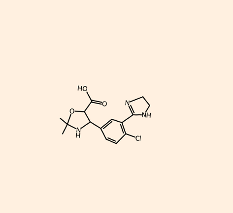 CC1(C)NC(c2ccc(Cl)c(C3=NCCN3)c2)C(C(=O)O)O1